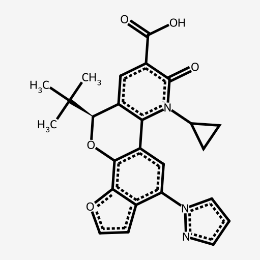 CC(C)(C)[C@@H]1Oc2c(cc(-n3cccn3)c3ccoc23)-c2c1cc(C(=O)O)c(=O)n2C1CC1